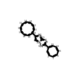 C1=C\C=C/C(c2nn3cc(-c4ccccccccc4)nc3s2)=C\C=C/1